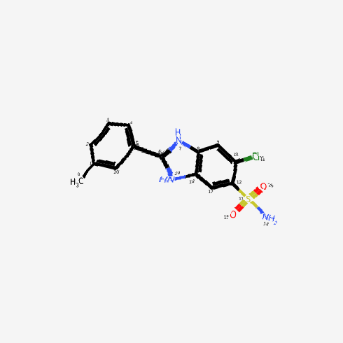 Cc1cccc(C2Nc3cc(Cl)c(S(N)(=O)=O)cc3N2)c1